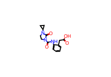 O=C(O)Cc1ccccc1NC(=O)N1CCN(C2CC2)C1=O